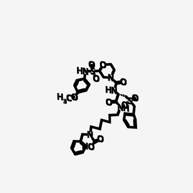 COc1ccc(NS(=O)(=O)C2CN(C(=O)N[C@H](CS(=O)(=O)Cc3ccccc3)C(=O)NCCCCCCN(Cc3ccccc3)C(=O)O)CCO2)cc1